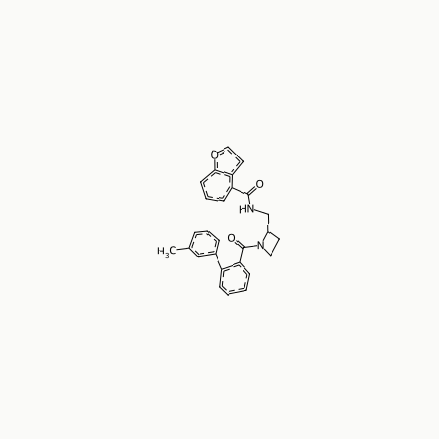 Cc1cccc(-c2ccccc2C(=O)N2CCC2CNC(=O)c2cccc3occc23)c1